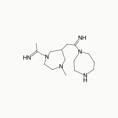 CC(=N)N1CCN(C)CC(CC(=N)N2CCCNCC2)C1